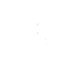 [CH2]NN(CC)CC(C)C